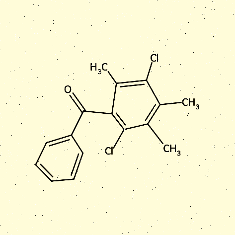 Cc1c(C)c(Cl)c(C(=O)c2ccccc2)c(C)c1Cl